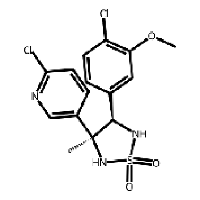 COc1cc([C@H]2NS(=O)(=O)N[C@@]2(C)c2ccc(Cl)nc2)ccc1Cl